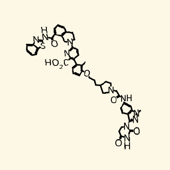 Cc1c(OCCCC2CCN(CC(=O)Nc3ccc4c(N5CCC(=O)NC5=O)nn(C)c4c3)CC2)cccc1-c1ccc(N2CCc3cccc(C(=O)Nc4nc5ccccc5s4)c3C2)nc1C(=O)O